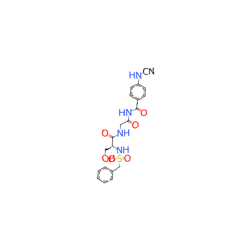 N#CNc1ccc(C(=O)NC(=O)CNC(=O)[C@H](CO)NS(=O)(=O)Cc2ccccc2)cc1